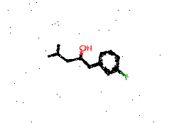 CC(C)CC(O)Cc1cccc(F)c1